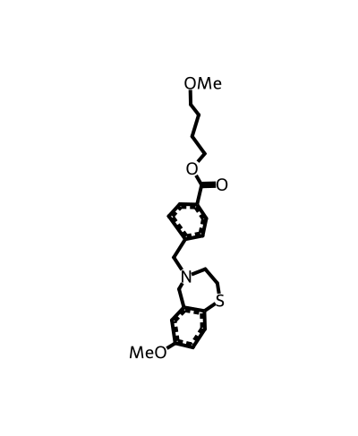 COCCCCOC(=O)c1ccc(CN2CCSc3ccc(OC)cc3C2)cc1